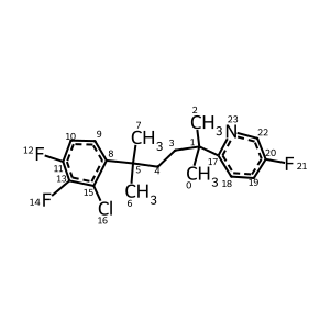 CC(C)(CCC(C)(C)c1ccc(F)c(F)c1Cl)c1ccc(F)cn1